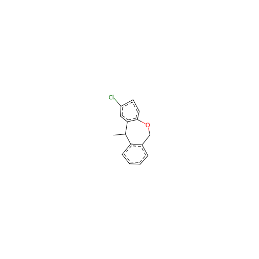 CC1c2ccccc2COc2ccc(Cl)cc21